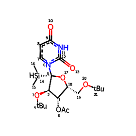 CC(=O)O[C@@H]1[C@@H](OC(C)(C)C)[C@](n2ccc(=O)[nH]c2=O)([SiH](C)C)O[C@@H]1COC(C)(C)C